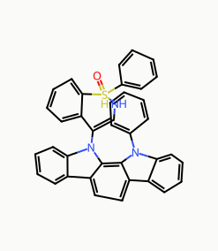 O=[SH]1(c2ccccc2)NC=C(n2c3ccccc3c3ccc4c5ccccc5n(-c5ccccc5)c4c32)c2ccccc21